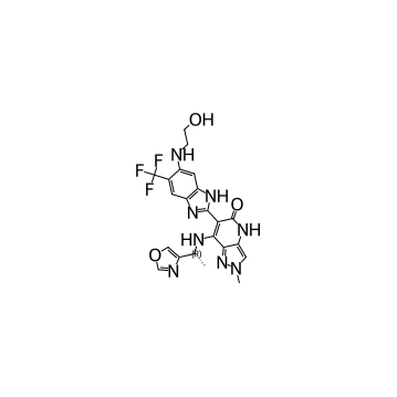 C[C@@H](Nc1c(-c2nc3cc(C(F)(F)F)c(NCCO)cc3[nH]2)c(=O)[nH]c2cn(C)nc12)c1cocn1